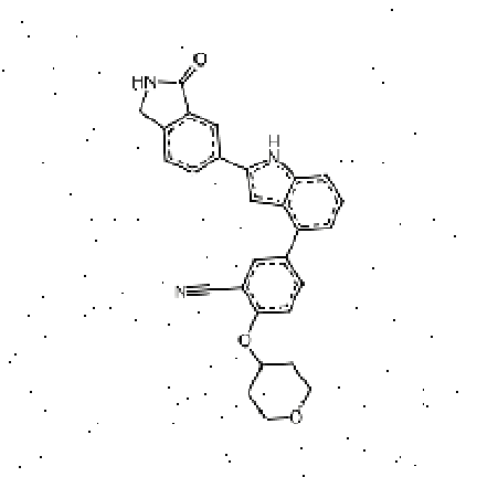 N#Cc1cc(-c2cccc3[nH]c(-c4ccc5c(c4)C(=O)NC5)cc23)ccc1OC1CCOCC1